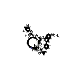 COc1ccc2c(O[C@@H]3C[C@H]4C(=O)N[C@]5(C(=O)NS(=O)(=O)C6CC6)C[C@H]5/C=C\CCCC[C@@H](C)[C@H](NC(=O)O[C@@H]5C[C@@H]6C[C@@H]6C5)C(=O)N4C3)nc(-c3ccccc3)cc2c1